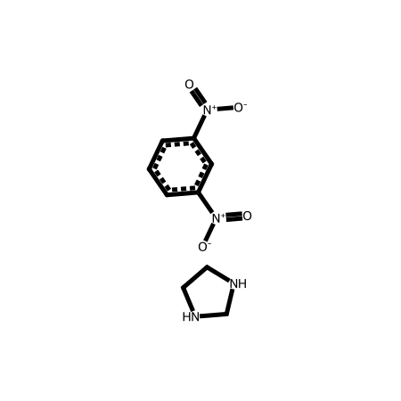 C1CNCN1.O=[N+]([O-])c1cccc([N+](=O)[O-])c1